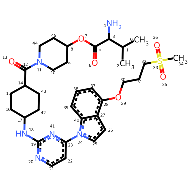 CC(C)C(N)C(=O)OC1CCN(C(=O)C2CCC(Nc3nccc(-n4ccc5c(OCCCS(C)(=O)=O)cccc54)n3)CC2)CC1